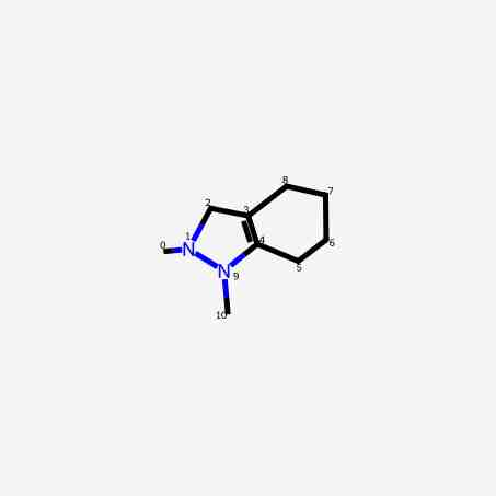 CN1CC2=C(CCCC2)N1C